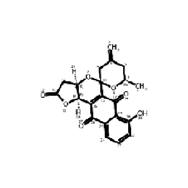 C=C1C[C@@H](C)O[C@@]2(C1)O[C@@H]1CC(=O)O[C@@H]1C1=C2C(=O)c2c(O)cccc2C1=O